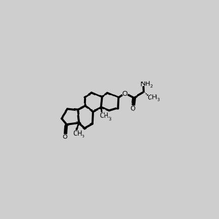 C[C@@H](N)C(=O)OC1CCC2(C)C(CCC3C4CCC(=O)C4(C)CCC32)C1